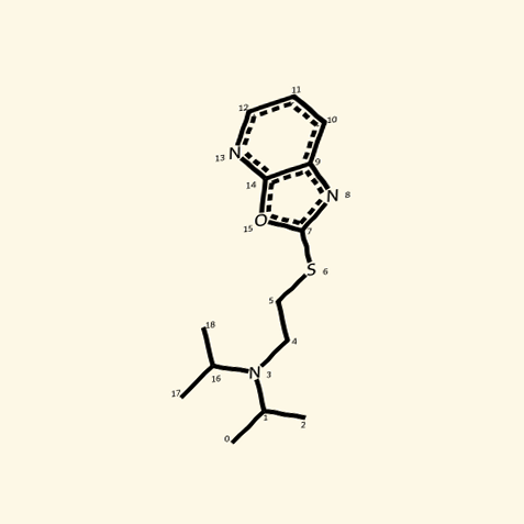 CC(C)N(CCSc1nc2cccnc2o1)C(C)C